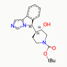 CC(C)(C)OC(=O)N1CC[C@@H]([C@@H]2c3ccccc3-c3cncn32)[C@H](O)C1